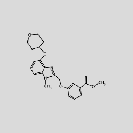 COC(=O)c1cccc(OCc2nc3c(OC4CCOCC4)cccc3n2C)c1